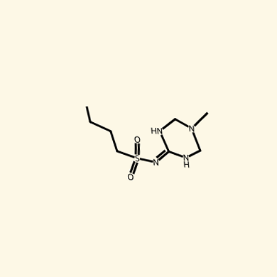 CCCCS(=O)(=O)N=C1NCN(C)CN1